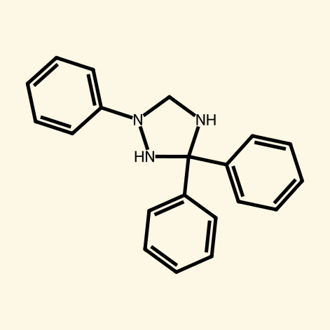 c1ccc(N2CNC(c3ccccc3)(c3ccccc3)N2)cc1